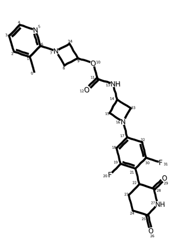 Cc1cccnc1N1CC(OC(=O)NC2CN(c3cc(F)c(C4CCC(=O)NC4=O)c(F)c3)C2)C1